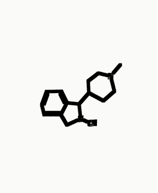 CN1CCC(C2c3ccccc3CN2C#N)CC1